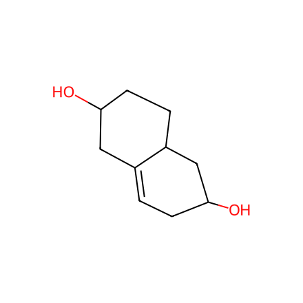 OC1CCC2CC(O)CC=C2C1